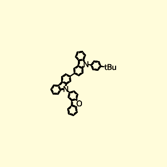 CC(C)(C)c1ccc(-n2c3ccccc3c3cc(-c4ccc5c6ccccc6n(-c6ccc7oc8ccccc8c7c6)c5c4)ccc32)cc1